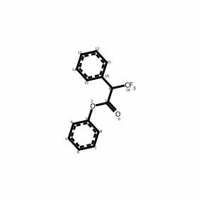 O=C(Oc1ccccc1)C(c1ccccc1)C(F)(F)F